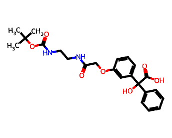 CC(C)(C)OC(=O)NCCNC(=O)COc1cccc(C(O)(C(=O)O)c2ccccc2)c1